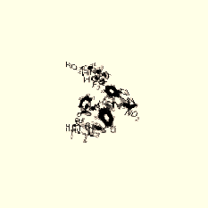 C[S+](C)C.Nc1c([N+](=O)[O-])cnn1-c1c(Cl)cc(C(F)(F)F)cc1Cl.O=C(O)CNCP(=O)([O-])O.O=C(O)CSc1cc(N=c2sc(=O)n3n2CCCC3)c(F)cc1Cl